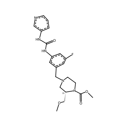 COC[C@@H]1CN(Cc2cc(F)cc(NC(=O)Nc3cccnc3)c2)CCN1C(=O)OC